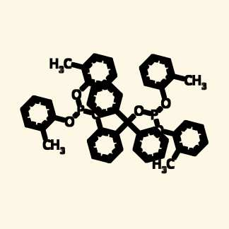 Cc1ccccc1OP(Oc1ccccc1C)Oc1ccccc1C(OP(Oc1ccccc1C)Oc1ccccc1C)(c1ccccc1)c1ccccc1